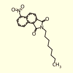 CCCCCCCCN1C(=O)c2ccc3c([N+](=O)[O-])cccc3c2C1=O